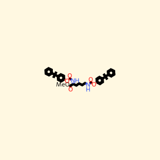 COC(=O)C(CCCCNC(=O)Oc1ccc(C(C)(C)c2ccccc2)cc1)NC(=O)Oc1ccc(C(C)(C)c2ccccc2)cc1